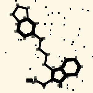 O=C(O)Oc1[nH]c2ccccc2c1CCCOc1ccc2c(c1)CCC2